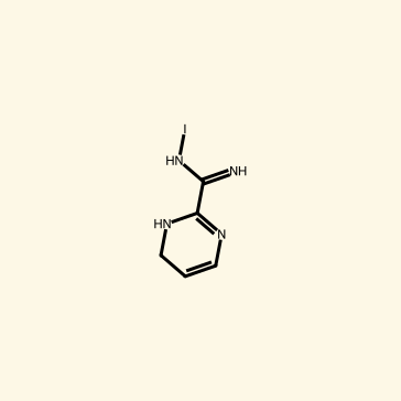 N=C(NI)C1=NC=CCN1